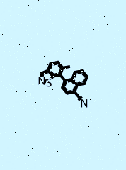 Cc1ccc2cnsc2c1-c1ccc(C#N)c2ccccc12